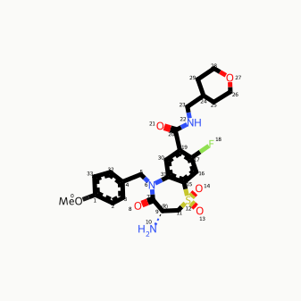 COc1ccc(CN2C(=O)[C@@H](N)CS(=O)(=O)c3cc(F)c(C(=O)NCC4CCOCC4)cc32)cc1